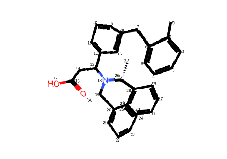 Cc1ccccc1Cc1cccc(C(CC(=O)O)N(Cc2ccccc2)[C@H](C)c2ccccc2)c1